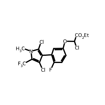 CCOC(=O)C(Cl)Oc1ccc(F)c(-c2c(Cl)c(C(F)(F)F)n(C)c2Cl)c1